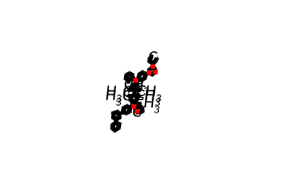 Cc1ccccc1N(c1ccc(-c2cccc(-c3ccccc3)c2)cc1)c1cc(C)c(-c2c(C)cc(N(c3ccc(-c4cccc(-c5ccccc5)c4)cc3)c3ccccc3C)cc2C)c(C)c1